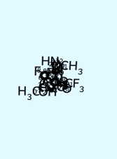 C[C@@H](O)COc1cc(F)cc(F)c1-c1c(-c2cc3n(n2)[C@@H](C)CNC3)nc(OS(=O)(=O)C(F)(F)F)c2ccsc12